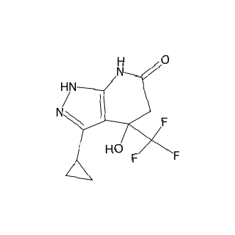 O=C1CC(O)(C(F)(F)F)c2c(C3CC3)n[nH]c2N1